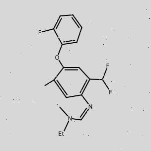 CCN(C)/C=N\c1cc(C)c(Oc2ccccc2F)cc1C(F)F